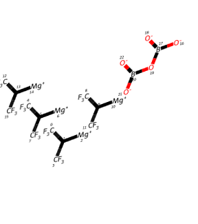 FC(F)(F)[CH]([Mg+])C(F)(F)F.FC(F)(F)[CH]([Mg+])C(F)(F)F.FC(F)(F)[CH]([Mg+])C(F)(F)F.FC(F)(F)[CH]([Mg+])C(F)(F)F.[O-]B([O-])OB([O-])[O-]